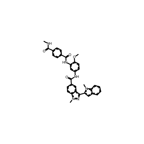 CNC(=O)c1ccc(C(=O)Nc2cc(NC(=O)c3ccc4c(c3)c(-c3cc5ccccc5n3C)nn4C)ccc2OC)cc1